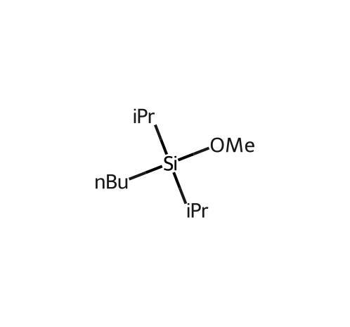 CCCC[Si](OC)(C(C)C)C(C)C